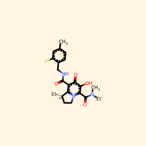 CC[C@H]1CCn2c(C(=O)N(C)CC)c(O)c(=O)c(C(=O)NCc3ccc(C)cc3F)c21